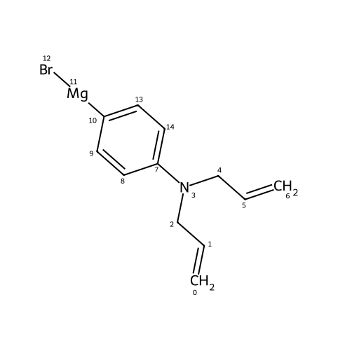 C=CCN(CC=C)c1cc[c]([Mg][Br])cc1